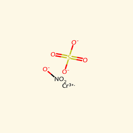 O=S(=O)([O-])[O-].O=[N+]([O-])[O-].[Cr+3]